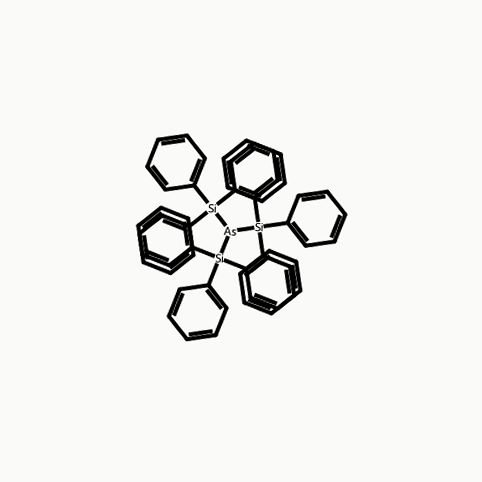 c1ccc([Si](c2ccccc2)(c2ccccc2)[As]([Si](c2ccccc2)(c2ccccc2)c2ccccc2)[Si](c2ccccc2)(c2ccccc2)c2ccccc2)cc1